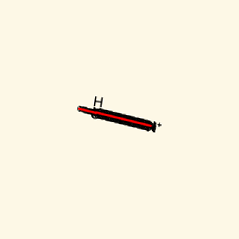 CCCCCCCCCCCCCCCCCCCCCCC(=O)NCCOCCOCCOCCOCCOCCOCCOCCOCCOCCOCCOCCOCCOCCOCCOCCOCCOCCOCCOCCOCCOCCOCCOCCN=[N+]=[N-]